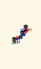 O=C(Nc1ccc(-c2nnc3c(C(=O)N[C@H](C(=O)O)c4ccccc4)cccn23)cc1)Nc1ccccc1OC(F)(F)F